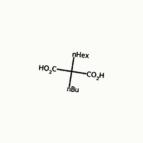 CCCCCCC(CCCC)(C(=O)O)C(=O)O